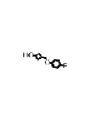 OC1CC(COc2ccc(F)cc2)C1